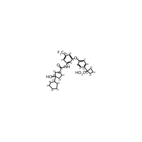 O=C(Nc1cc(Oc2ccc(C3(C(=O)O)CCC3)cc2)cc(C(F)(F)F)c1)N1CCC(O)(C2CCCCC2)C1